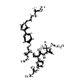 CC(C)(C)OC(=O)NCCCn1cnc(-c2ccc(OCC(O/N=C(\C(=O)NC3C(=O)N(OS(=O)(=O)O)C3(C)C)c3csc(NC(=O)OC(C)(C)C)n3)C(=O)OC(C)(C)C)cc2)c1